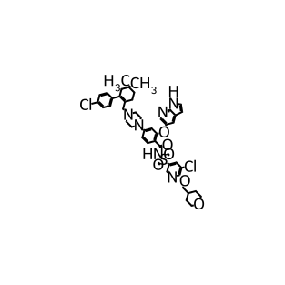 CC1(C)CCC(CN2CCN(c3ccc(C(=O)NS(=O)(=O)c4cnc(OCC5CCOCC5)c(Cl)c4)c(Oc4cnc5[nH]ccc5c4)c3)CC2)=C(c2ccc(Cl)cc2)C1